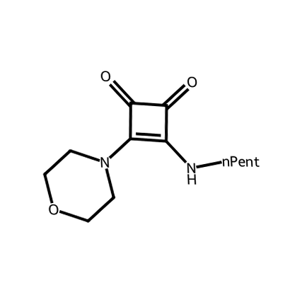 CCCCCNc1c(N2CCOCC2)c(=O)c1=O